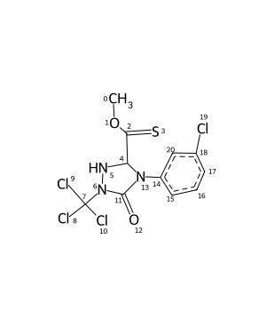 COC(=S)C1NN(C(Cl)(Cl)Cl)C(=O)N1c1cccc(Cl)c1